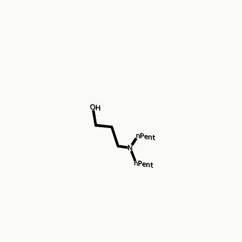 CCCCCN(CCCO)CCCCC